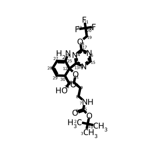 CC(C)(C)OC(=O)NCCCOC1(c2ncnc(OCC(F)(F)F)n2)C(N)=CC=CC1C(=O)O